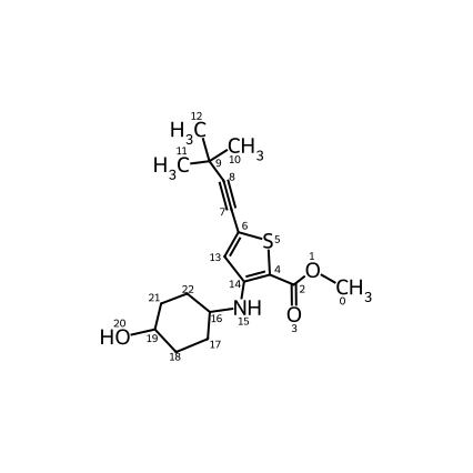 COC(=O)c1sc(C#CC(C)(C)C)cc1NC1CCC(O)CC1